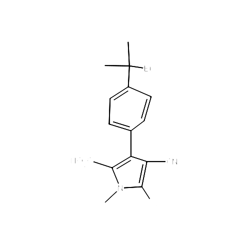 CCc1c(C#N)c(-c2ccc(C(C)(C)CC)cc2)c(C(=O)O)n1C